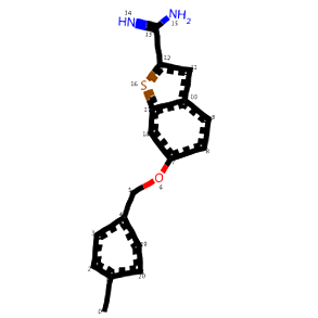 Cc1ccc(COc2ccc3cc(C(=N)N)sc3c2)cc1